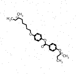 CC[C@H](C)CCCCCOc1ccc(OC(=O)c2ccc(O[C@H](C)CC)cc2)cc1